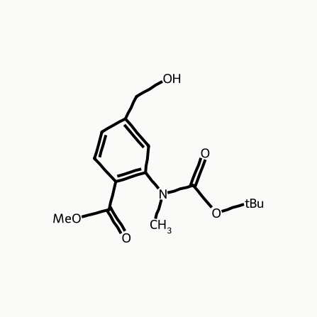 COC(=O)c1ccc(CO)cc1N(C)C(=O)OC(C)(C)C